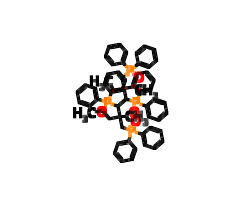 CCCC(C)(CP(=O)(c1ccccc1)c1ccccc1)C(C(C(CC)(CC)CP(=O)(c1ccccc1)c1ccccc1)P(=O)(c1ccccc1)c1ccccc1)P(=O)(c1ccccc1)c1ccccc1